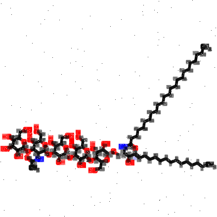 CCCCCCCCCCCCC/C=C/[C@@H](O)[C@H](CO[C@@H]1OC(CO)[C@@H](O[C@@H]2OC(CO)[C@H](O)[C@H](O[C@H]3OC(CO)[C@H](O)[C@H](O[C@@H]4OC(CO)[C@H](O)[C@H](O[C@@H]5OC(CO)[C@H](O)[C@H](O)C5O)C4NC(C)=O)C3O)C2O)[C@H](O)C1O)NC(=O)CCCCCCCCCCCCCCCCCCCCCCC